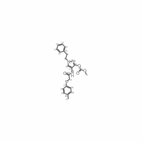 COC(=O)Oc1nn(CCc2ccccc2)cc1NC(=O)CSc1ccc(C)cc1